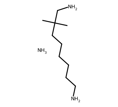 CC(C)(CN)CCCCCCN.N